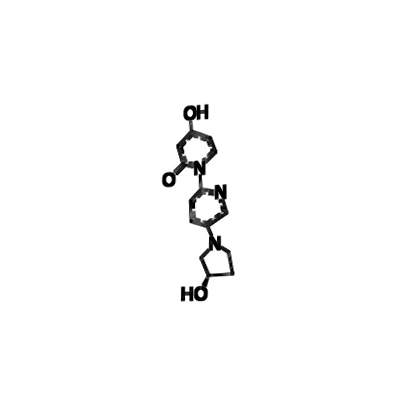 O=c1cc(O)ccn1-c1ccc(N2CC[C@@H](O)C2)cn1